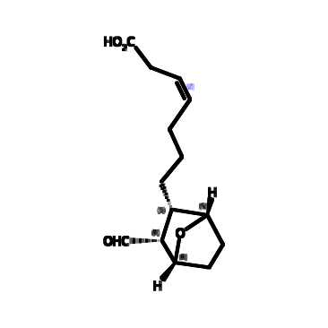 O=C[C@@H]1[C@H](CCC/C=C\CC(=O)O)[C@@H]2CC[C@H]1O2